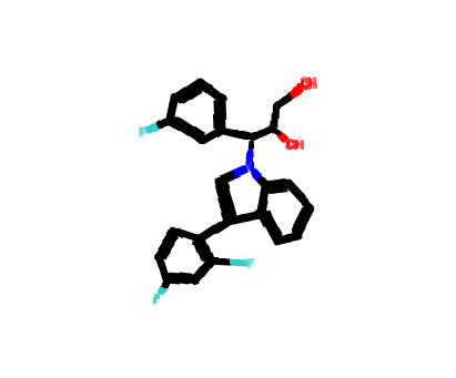 OC[C@@H](O)[C@H](c1cccc(F)c1)n1cc(-c2ccc(F)cc2F)c2ccccc21